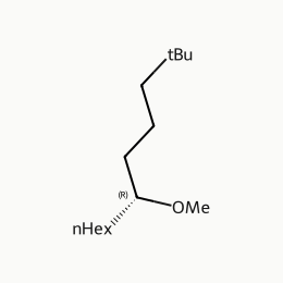 CCCCCC[C@H](CCCC(C)(C)C)OC